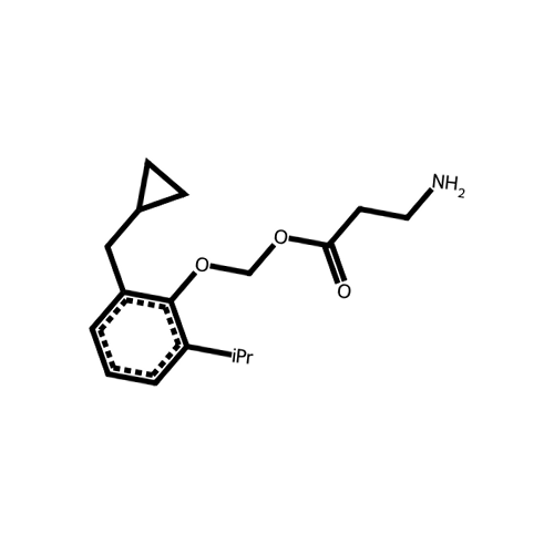 CC(C)c1cccc(CC2CC2)c1OCOC(=O)CCN